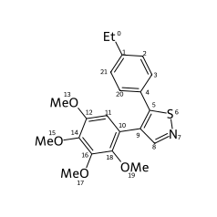 CCc1ccc(-c2sncc2-c2cc(OC)c(OC)c(OC)c2OC)cc1